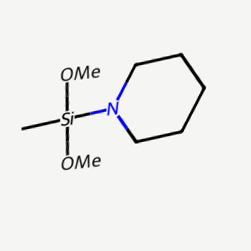 CO[Si](C)(OC)N1CCCCC1